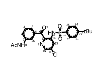 CC(=O)Nc1cccc(C(=O)c2ncc(Cl)cc2NS(=O)(=O)c2ccc(C(C)(C)C)cc2)c1